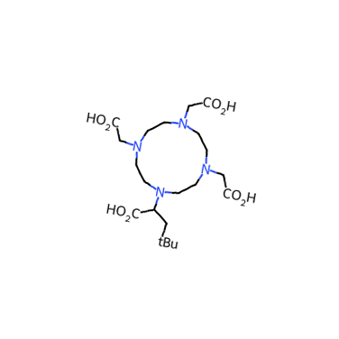 CC(C)(C)CC(C(=O)O)N1CCN(CC(=O)O)CCN(CC(=O)O)CCN(CC(=O)O)CC1